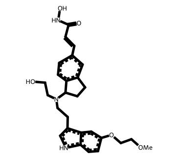 COCCOc1ccc2[nH]cc(CCN(CCO)C3CCc4cc(/C=C/C(=O)NO)ccc43)c2c1